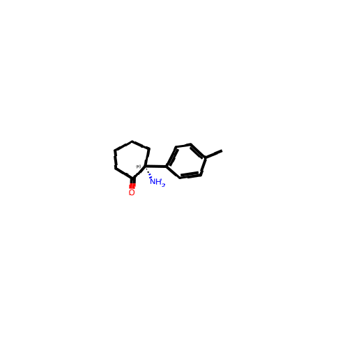 Cc1ccc([C@]2(N)CCCCC2=O)cc1